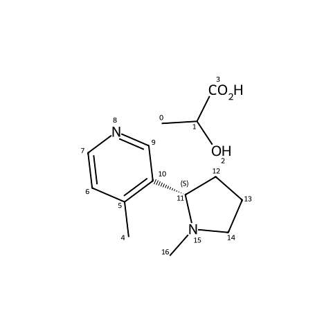 CC(O)C(=O)O.Cc1ccncc1[C@@H]1CCCN1C